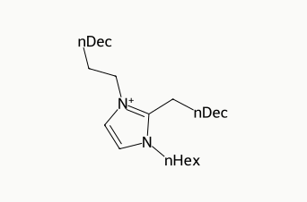 CCCCCCCCCCCC[n+]1ccn(CCCCCC)c1CCCCCCCCCCC